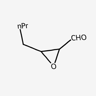 CCCCC1OC1C=O